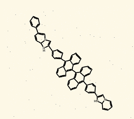 C1=CC2NC(c3ccc(-c4c5ccccc5c(-c5c6ccccc6c(-c6ccc(C7=CN8C=C(c9ccccc9)C=CC8N7)cc6)c6ccccc56)c5ccccc45)cc3)=CN2C=C1